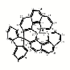 c1ccc2c(c1)-c1ccccc1C21c2ccc3ccc4ccc[n+]5c4c3c2[N+]52c3c1ccc1ccc4ccc[n+]2c4c31